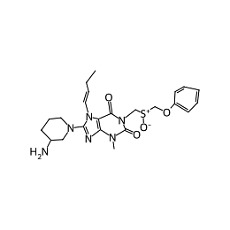 CCC=Cn1c(N2CCCC(N)C2)nc2c1c(=O)n(C[S+]([O-])COc1ccccc1)c(=O)n2C